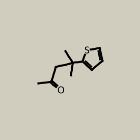 CC(=O)CC(C)(C)c1cccs1